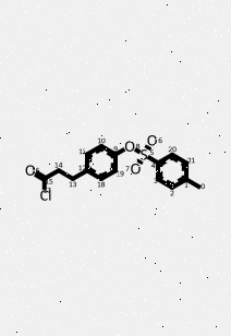 Cc1ccc(S(=O)(=O)Oc2ccc(CCC(=O)Cl)cc2)cc1